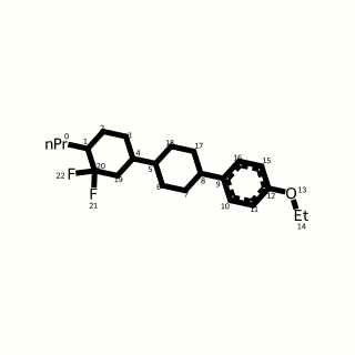 CCCC1CCC(C2CCC(c3ccc(OCC)cc3)CC2)CC1(F)F